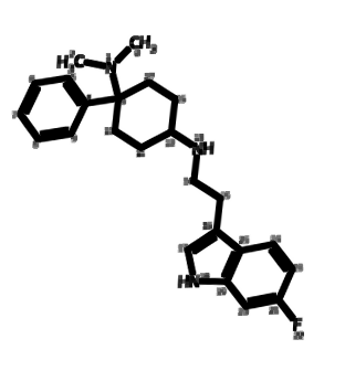 CN(C)C1(c2ccccc2)CCC(NCCc2c[nH]c3cc(F)ccc23)CC1